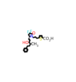 C[C@H](CCc1ccccc1)[C@H](O)C=C[C@H]1CC(F)(F)C(=O)N1CCCc1ccc(C(=O)O)s1